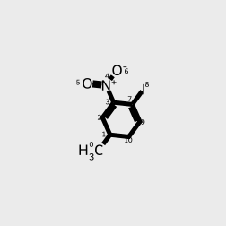 CC1C=C([N+](=O)[O-])C(I)=CC1